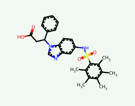 Cc1c(C)c(C)c(S(=O)(=O)Nc2ccc3c(c2)ncn3C(CC(=O)O)c2ccccc2)c(C)c1C